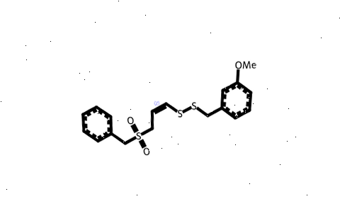 COc1cccc(CSS/C=C\CS(=O)(=O)Cc2ccccc2)c1